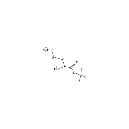 CC(C)(C)OC(=O)C(O)CCCN